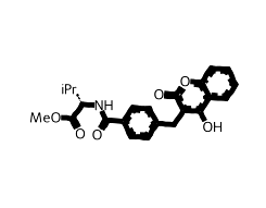 COC(=O)[C@@H](NC(=O)c1ccc(Cc2c(O)c3ccccc3oc2=O)cc1)C(C)C